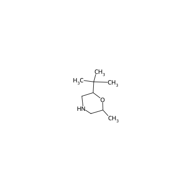 CC1CNCC(C(C)(C)C)O1